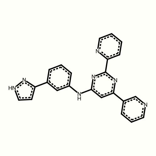 c1ccc(-c2nc(Nc3cccc(-c4cc[nH]n4)c3)cc(-c3cccnc3)n2)nc1